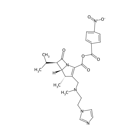 CC(C)[C@H]1C(=O)N2C(C(=O)OC(=O)c3ccc([N+](=O)[O-])cc3)=C(CN(C)CCn3ccnc3)[C@H](C)[C@H]12